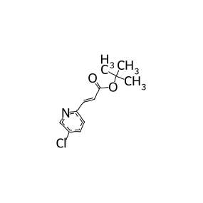 CC(C)(C)OC(=O)C=Cc1ccc(Cl)cn1